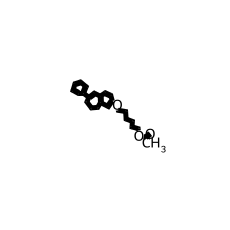 CC(=O)OCCCCCCOc1ccc2c(c1)CCCC(c1ccccc1)=C2